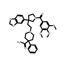 COc1cc(C(=O)N2CCC(CCN3CCC(C(N)=O)(c4ccccc4)CC3)(c3ccc4c(c3)OCO4)C2)cc(OC)c1OC